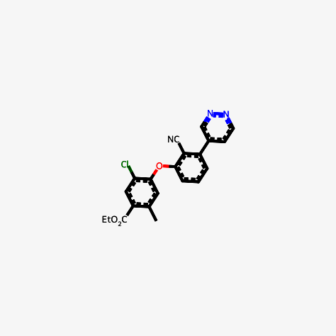 CCOC(=O)c1cc(Cl)c(Oc2cccc(-c3ccnnc3)c2C#N)cc1C